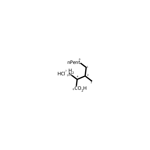 CCCCCCC(C)C(N)C(=O)O.Cl